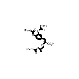 CCCCCC(=O)OC(C)CN[C@@H](Cc1ccc(OC(=O)C(C)CCC)c(OC(=O)C(C)CCC)c1)C(=O)O